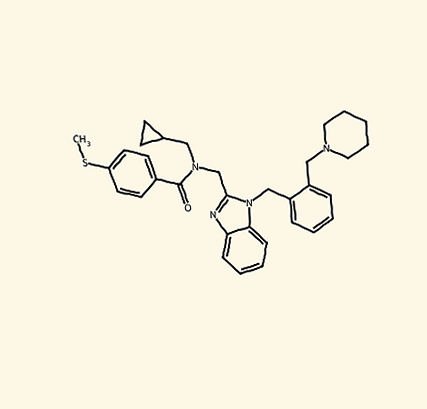 CSc1ccc(C(=O)N(Cc2nc3ccccc3n2Cc2ccccc2CN2CCCCC2)CC2CC2)cc1